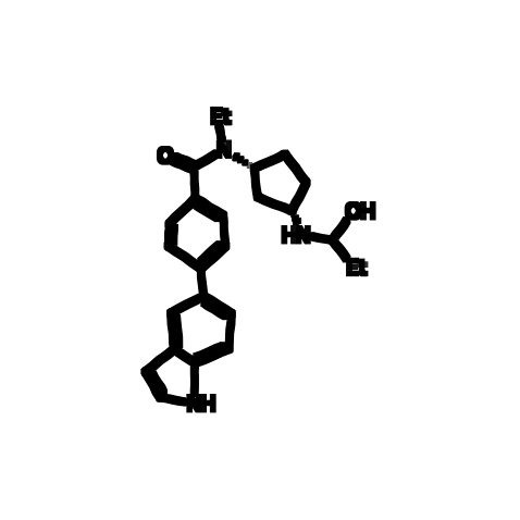 CCC(O)N[C@H]1CC[C@@H](N(CC)C(=O)c2ccc(-c3ccc4[nH]ccc4c3)cc2)C1